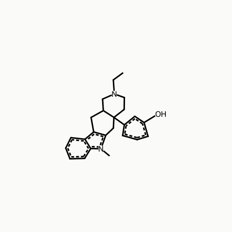 CCN1CCC2(c3cccc(O)c3)Cc3c(c4ccccc4n3C)CC2C1